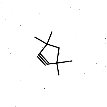 CC1(C)C#CC(C)(C)C1